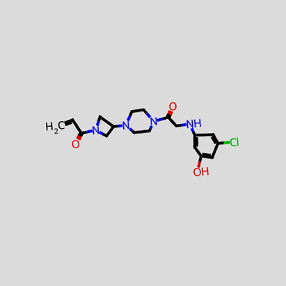 C=CC(=O)N1CC(N2CCN(C(=O)CNc3cc(O)cc(Cl)c3)CC2)C1